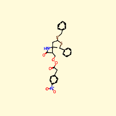 CC1(CC(SCc2ccccc2)SCc2ccccc2)NC(=O)C1COOC(=O)Cc1ccc([N+](=O)[O-])cc1